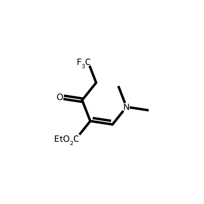 CCOC(=O)C(=CN(C)C)C(=O)CC(F)(F)F